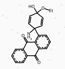 CCOC1(O)C=CC(N)(c2cccc3c2C(=O)c2ccccc2C3=O)C=C1